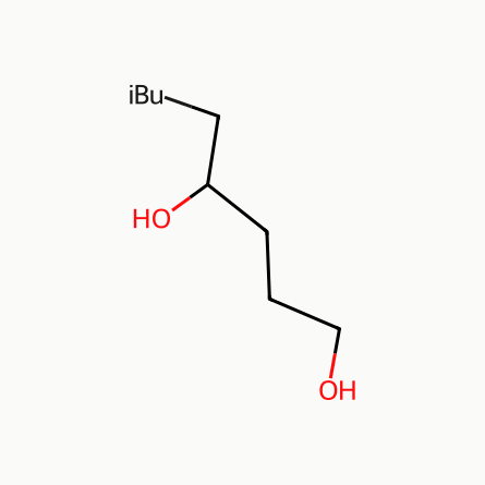 CCC(C)CC(O)CCCO